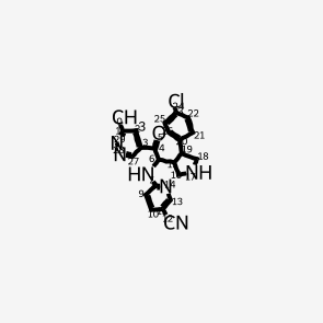 Cc1cc(C(=O)C(Nc2ccc(C#N)cn2)C2CNCC2c2ccc(Cl)cc2)cnn1